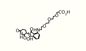 O=C(O)COCCOCCOCCNc1cccc2c1C(=O)N(C1CCC(=O)NC1=O)C2O